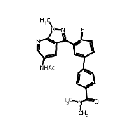 CC(=O)Nc1cnc2c(c1)c(-c1cc(-c3ccc(C(=O)N(C)C)cc3)ccc1F)nn2C